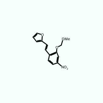 COCOc1[c]c([N+](=O)[O-])ccc1/C=C/c1ccco1